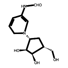 O=CNC1=CN([C@@H]2C[C@H](CO)[C@@H](O)[C@H]2O)CC=C1